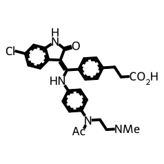 CNCCN(C(C)=O)c1ccc(NC(=C2C(=O)Nc3cc(Cl)ccc32)c2ccc(CCC(=O)O)cc2)cc1